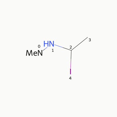 CNNC(C)I